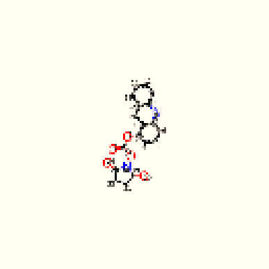 O=C(Oc1cccc2nc3ccccc3cc12)ON1C(=O)CCC1=O